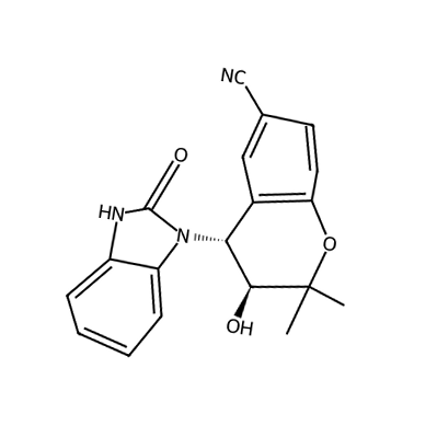 CC1(C)Oc2ccc(C#N)cc2[C@@H](n2c(=O)[nH]c3ccccc32)[C@@H]1O